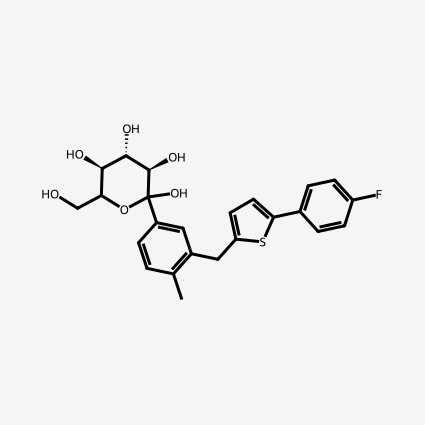 Cc1ccc(C2(O)OC(CO)[C@@H](O)[C@H](O)[C@H]2O)cc1Cc1ccc(-c2ccc(F)cc2)s1